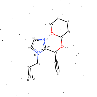 C#C[C@H](OC1CCCCO1)c1nccn1CC=C